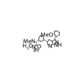 CNC(C(=O)N(C)C(C)C)c1cccc(-c2cnc3[nH]nc(-c4ccccc4OC)c3c2)c1